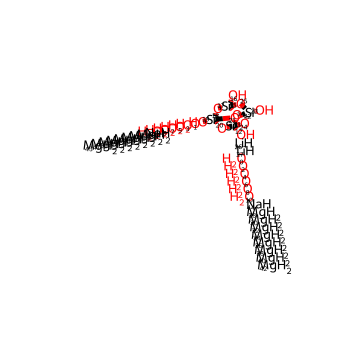 O.O.O.O.O.O.O.O.O.O.O.O.O[Si]12O[Si]3(O)O[Si](O)(O1)O[Si](O)(O2)O3.[LiH].[LiH].[MgH2].[MgH2].[MgH2].[MgH2].[MgH2].[MgH2].[MgH2].[MgH2].[MgH2].[MgH2].[MgH2].[MgH2].[MgH2].[MgH2].[MgH2].[MgH2].[NaH].[NaH]